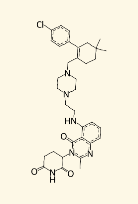 Cc1nc2cccc(NCCN3CCN(CC4=C(c5ccc(Cl)cc5)CC(C)(C)CC4)CC3)c2c(=O)n1C1CCC(=O)NC1=O